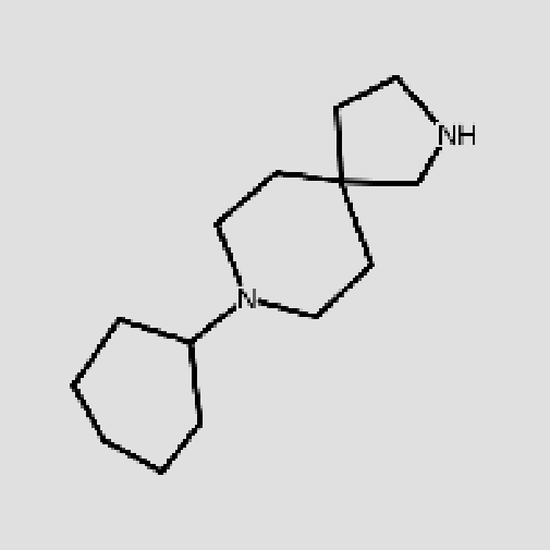 C1CCC(N2CCC3(CCNC3)CC2)CC1